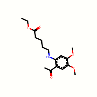 CCOC(=O)CCCCNc1cc(OC)c(OC)cc1C(C)=O